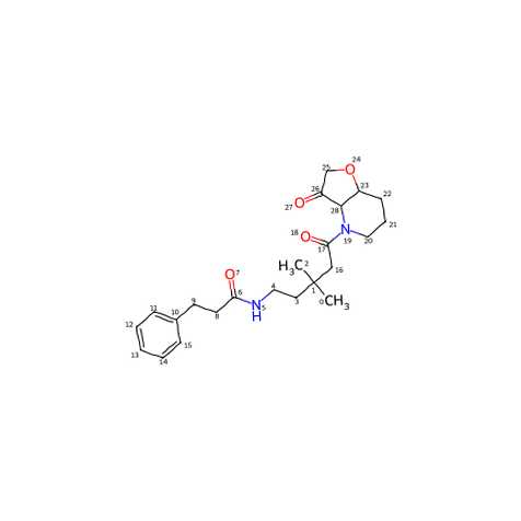 CC(C)(CCNC(=O)CCc1ccccc1)CC(=O)N1CCCC2OCC(=O)C21